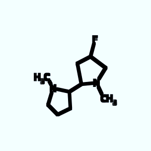 CN1CCCC1C1CC(F)CN1C